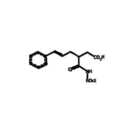 CCCCCCCCNC(=O)C(CC=Cc1ccccc1)CC(=O)O